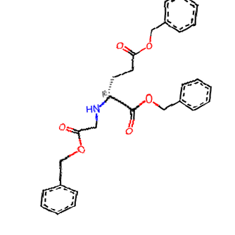 O=C(CC[C@@H](NCC(=O)OCc1ccccc1)C(=O)OCc1ccccc1)OCc1ccccc1